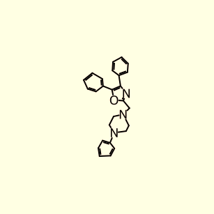 c1ccc(-c2nc(CN3CCN(c4ccccc4)CC3)oc2-c2ccccc2)cc1